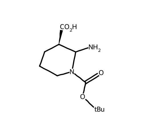 CC(C)(C)OC(=O)N1CCC[C@@H](C(=O)O)C1N